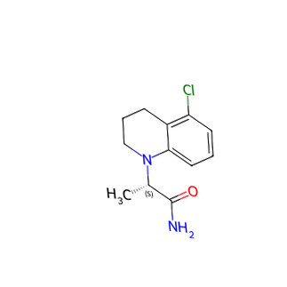 C[C@@H](C(N)=O)N1CCCc2c(Cl)cccc21